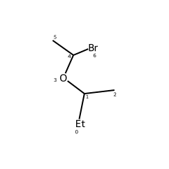 CCC(C)OC(C)Br